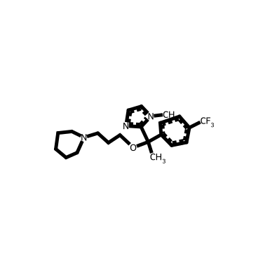 Cn1ccnc1C(C)(OCCCN1CCCCC1)c1ccc(C(F)(F)F)cc1